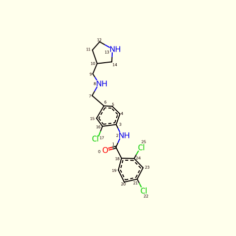 O=C(Nc1ccc(CNCC2CCNC2)cc1Cl)c1ccc(Cl)cc1Cl